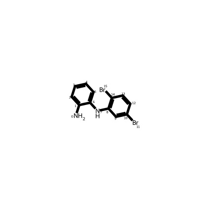 Nc1ccccc1Nc1cc(Br)ccc1Br